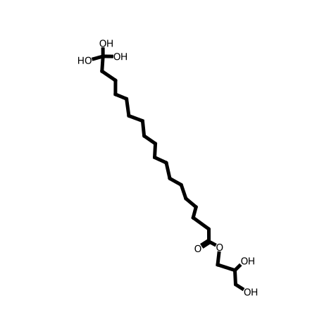 O=C(CCCCCCCCCCCCCCCCC(O)(O)O)OCC(O)CO